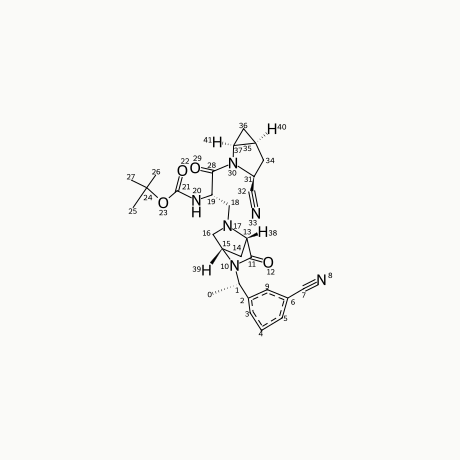 C[C@@H](c1cccc(C#N)c1)N1C(=O)[C@@H]2C[C@H]1CN2C[C@H](NC(=O)OC(C)(C)C)C(=O)N1[C@H](C#N)C[C@@H]2C[C@@H]21